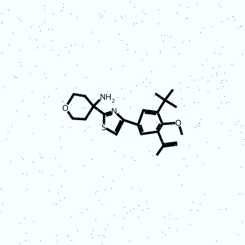 C=C(C)c1cc(-c2csc(C3(N)CCOCC3)n2)cc(C(C)(C)C)c1OC